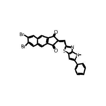 Cn1c(-c2ccccc2)cc2sc(C=C3C(=O)c4cc5cc(Br)c(Br)cc5cc4C3=O)nc21